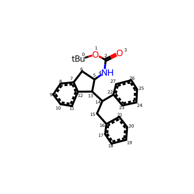 CC(C)(C)OC(=O)NC1Cc2ccccc2C1C(Cc1ccccc1)c1ccccc1